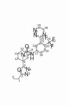 CCc1nnc(C23CC(C)CC(C2)N3C(=O)Nc2ccc(C(F)(F)F)c(-c3nccnn3)c2)o1